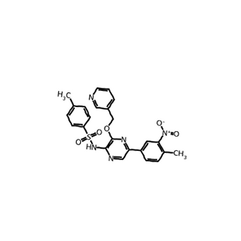 Cc1ccc(S(=O)(=O)Nc2ncc(-c3ccc(C)c([N+](=O)[O-])c3)nc2OCc2cccnc2)cc1